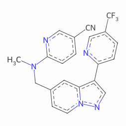 CN(Cc1ccn2ncc(-c3ccc(C(F)(F)F)cn3)c2c1)c1ccc(C#N)cn1